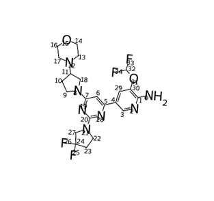 Nc1ncc(-c2cc(N3CCC(N4CCOCC4)C3)nc(N3CCC(F)(F)C3)n2)cc1OC(F)F